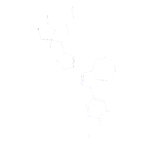 CCCCC(n1cc(-c2nn(-c3cnc(OC)c(F)c3)c3c2CCOCC3)cn1)C1(C)CC(=O)N(C)C1